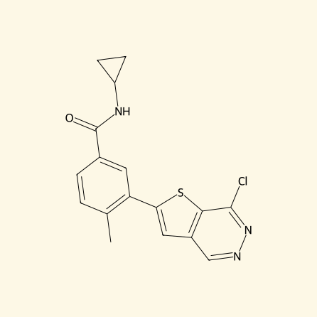 Cc1ccc(C(=O)NC2CC2)cc1-c1cc2cnnc(Cl)c2s1